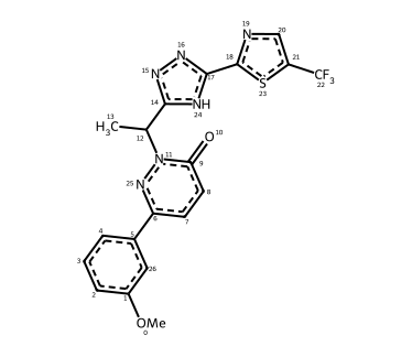 COc1cccc(-c2ccc(=O)n(C(C)c3nnc(-c4ncc(C(F)(F)F)s4)[nH]3)n2)c1